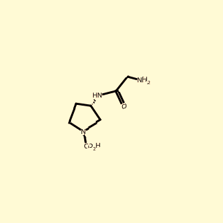 NCC(=O)N[C@H]1CCN(C(=O)O)C1